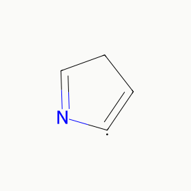 [C]1=CCC=N1